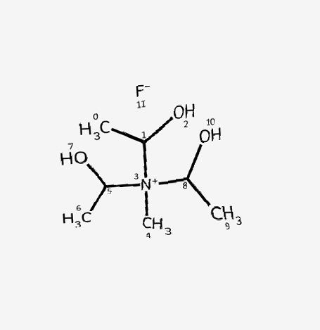 CC(O)[N+](C)(C(C)O)C(C)O.[F-]